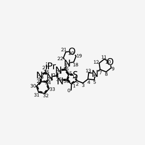 Cc1c(CC2CN(C3CCOCC3)C2)sc2c(N3CCOCC3)nc(-n3c(C(C)C)nc4ccccc43)nc12